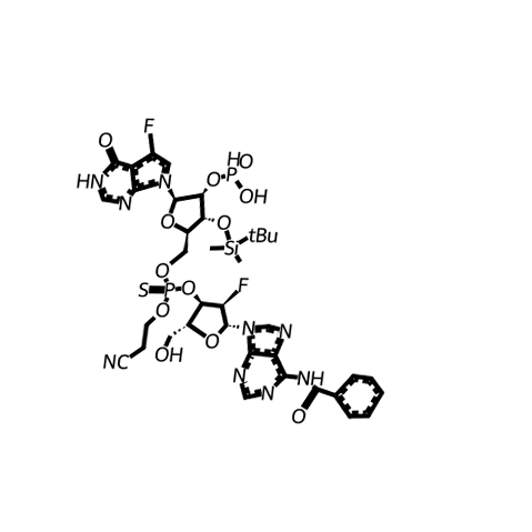 CC(C)(C)[Si](C)(C)O[C@H]1[C@@H](O[PH](=O)O)[C@H](n2cc(F)c3c(=O)[nH]cnc32)O[C@@H]1COP(=S)(OCCC#N)O[C@H]1[C@@H](F)[C@H](n2cnc3c(NC(=O)c4ccccc4)ncnc32)O[C@@H]1CO